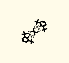 CC(C)(C)c1cccc(C(C)(C)C)c1P1OCC2(CO1)COP(c1c(C(C)(C)C)cccc1C(C)(C)C)OC2